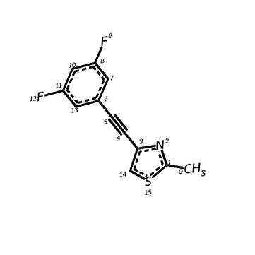 Cc1nc(C#Cc2cc(F)cc(F)c2)cs1